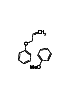 C=CCOc1ccccc1.COc1ccccc1